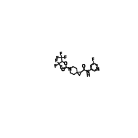 O=C(Nc1cncc(F)c1)C1CC12CCN(C(=O)OC(C(F)(F)F)C(F)(F)F)CC2